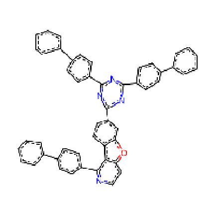 c1ccc(-c2ccc(-c3nc(-c4ccc(-c5ccccc5)cc4)nc(-c4ccc5c(c4)oc4ccnc(-c6ccc(-c7ccccc7)cc6)c45)n3)cc2)cc1